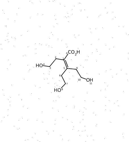 O=C(O)C(CCO)=C(CCO)CCO